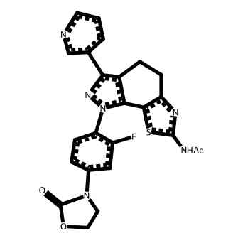 CC(=O)Nc1nc2c(s1)-c1c(c(-c3cccnc3)nn1-c1ccc(N3CCOC3=O)cc1F)CC2